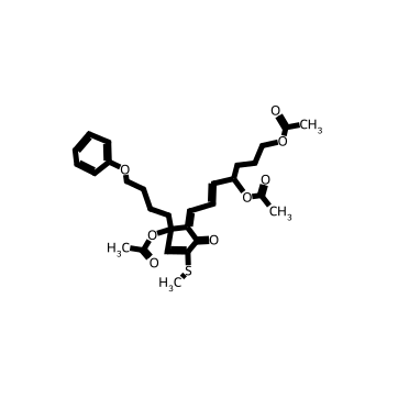 CSC1=CC(CCCCOc2ccccc2)(OC(C)=O)C(=CC=CC(CCCOC(C)=O)OC(C)=O)C1=O